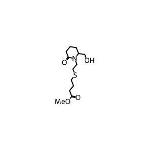 COC(=O)CCCSCCN1C(=O)CCCC1CO